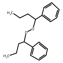 CCCC(OOC(CCC)c1ccccc1)c1ccccc1